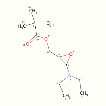 CCN(CC)C1OC1COC(=O)C(C)(C)C